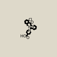 Cc1cccc(Cl)c1C(=O)c1nc(N2CCC(C(=O)O)CC2)c2ccccn12